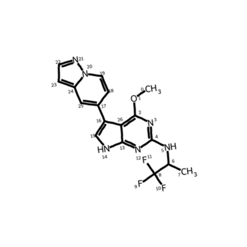 COc1nc(NC(C)C(F)(F)F)nc2[nH]cc(-c3ccn4nccc4c3)c12